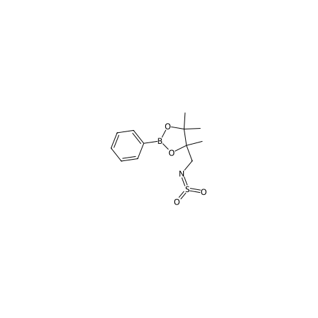 CC1(C)OB(c2ccccc2)OC1(C)CN=S(=O)=O